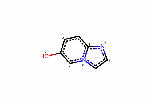 Oc1ccc2nccn2c1